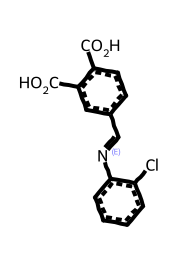 O=C(O)c1ccc(/C=N/c2ccccc2Cl)cc1C(=O)O